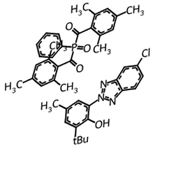 Cc1cc(-n2nc3ccc(Cl)cc3n2)c(O)c(C(C)(C)C)c1.Cc1cc(C)c(C(=O)P(=O)(C(=O)c2c(C)cc(C)cc2C)c2ccccc2)c(C)c1